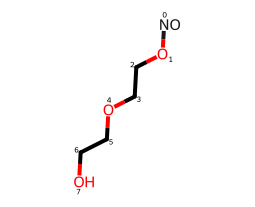 O=NOCCOCCO